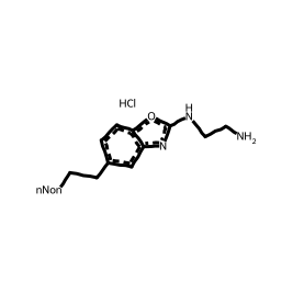 CCCCCCCCCCCc1ccc2oc(NCCN)nc2c1.Cl